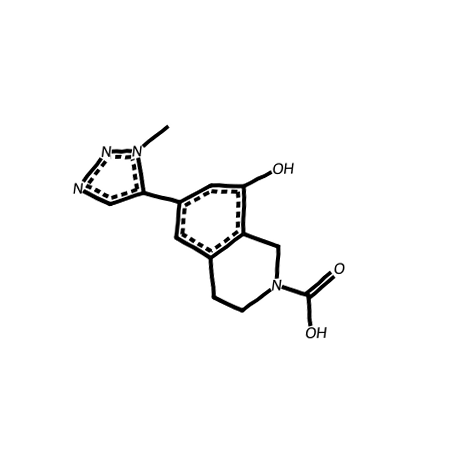 Cn1nncc1-c1cc(O)c2c(c1)CCN(C(=O)O)C2